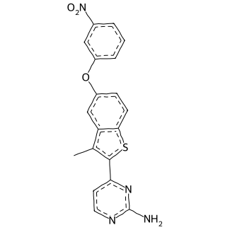 Cc1c(-c2ccnc(N)n2)sc2ccc(Oc3cccc([N+](=O)[O-])c3)cc12